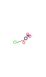 O=C(CCCCCl)c1ccc([N+](=O)[O-])cc1